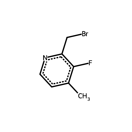 Cc1ccnc(CBr)c1F